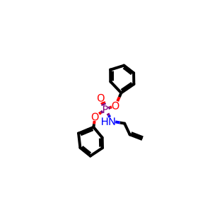 C=CCNP(=O)(Oc1ccccc1)Oc1ccccc1